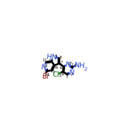 Nc1ncc(Cl)c(-c2c[nH]c3cnc(Br)cc23)n1